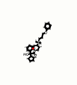 C[N+](C)(CCCOc1ccccc1)C1CCN(C(=O)C(O)(c2ccccc2)C2CCCC2)CC1